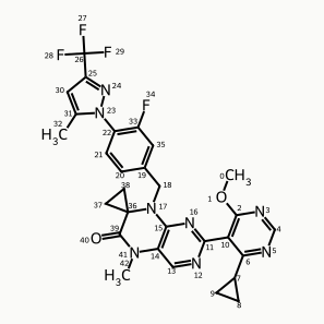 COc1ncnc(C2CC2)c1-c1ncc2c(n1)N(Cc1ccc(-n3nc(C(F)(F)F)cc3C)c(F)c1)C1(CC1)C(=O)N2C